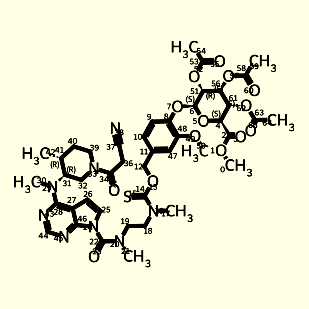 COC(=O)[C@H]1O[C@@H](Oc2ccc(COC(=S)N(C)CCN(C)C(=O)n3ccc4c(N(C)[C@H]5CN(C(=O)CC#N)CC[C@H]5C)ncnc43)cc2OC)[C@H](OC(C)=O)[C@@H](OC(C)=O)[C@@H]1OC(C)=O